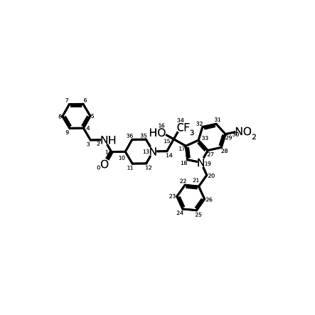 O=C(NCc1ccccc1)C1CCN(CC(O)(c2cn(Cc3ccccc3)c3cc([N+](=O)[O-])ccc23)C(F)(F)F)CC1